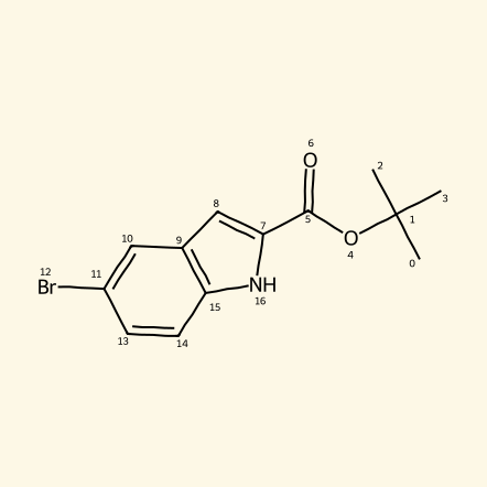 CC(C)(C)OC(=O)c1cc2cc(Br)ccc2[nH]1